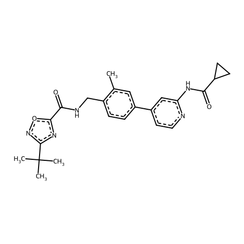 Cc1cc(-c2ccnc(NC(=O)C3CC3)c2)ccc1CNC(=O)c1nc(C(C)(C)C)no1